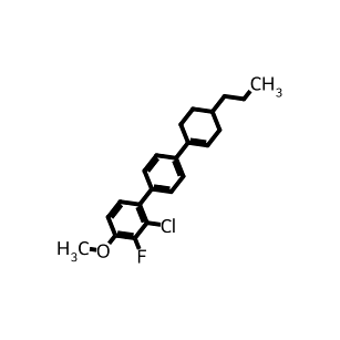 CCCC1CC=C(c2ccc(-c3ccc(OC)c(F)c3Cl)cc2)CC1